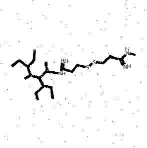 CCC(CC)C(C)C(C(CC)CC)C(C)NC(=N)CCSSCCC(=N)NC